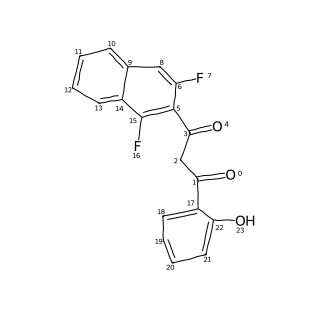 O=C(CC(=O)c1c(F)cc2ccccc2c1F)c1ccccc1O